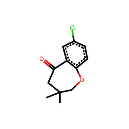 CC1(C)COc2ccc(Cl)cc2C(=O)C1